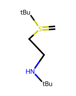 C=S(CCNC(C)(C)C)C(C)(C)C